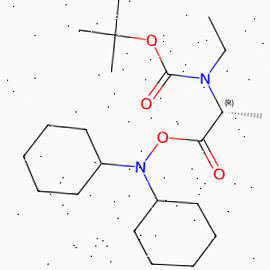 CCN(C(=O)OC(C)(C)C)[C@H](C)C(=O)ON(C1CCCCC1)C1CCCCC1